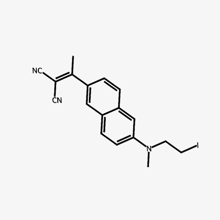 CC(=C(C#N)C#N)c1ccc2cc(N(C)CCI)ccc2c1